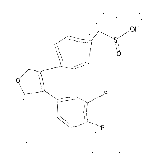 O=S(O)Cc1ccc(C2=C(c3ccc(F)c(F)c3)COC2)cc1